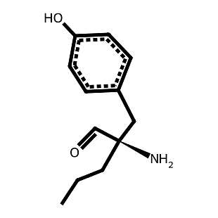 CCC[C@](N)(C=O)Cc1ccc(O)cc1